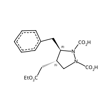 CCOC(=O)C[C@H]1CN(C(=O)O)N(C(=O)O)[C@@H]1Cc1ccccc1